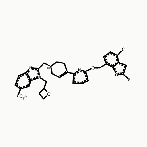 O=C(O)c1ccc2nc(C[C@@H]3CC=C(c4cccc(OCc5ccc(Cl)c6cc(F)oc56)n4)CC3)n(CC3CCO3)c2c1